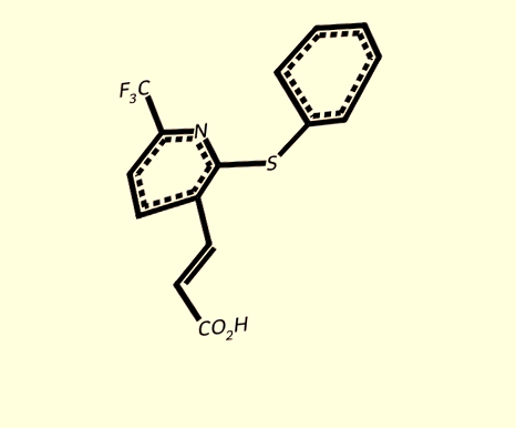 O=C(O)C=Cc1ccc(C(F)(F)F)nc1Sc1ccccc1